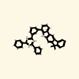 CC1(C)c2ccccc2-c2cc3c(cc21)oc1c(-c2cccc(-c4nc(-c5ccccc5)nc(-c5ccccc5)n4)c2)cccc13